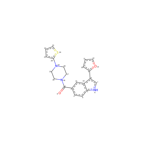 O=C(c1ccc2[nH]cc(-c3ccco3)c2c1)N1CCN(c2cccs2)CC1